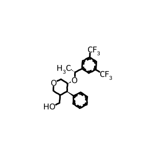 C[C@@H](O[C@H]1COCC(CO)[C@@H]1c1ccccc1)c1cc(C(F)(F)F)cc(C(F)(F)F)c1